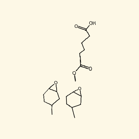 CC1CCC2OC2C1.CC1CCC2OC2C1.COC(=O)CCCCC(=O)O